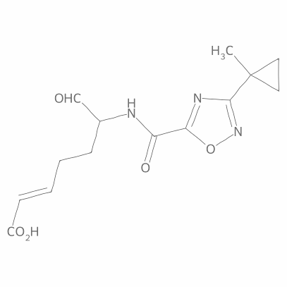 CC1(c2noc(C(=O)NC(C=O)CCC=CC(=O)O)n2)CC1